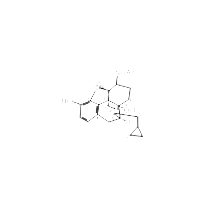 CC(=O)NC1CC[C@]2(O)[C@@H]3Cc4ccc(O)c5c4[C@]2(CCN3CC2CC2)[C@@H]1O5